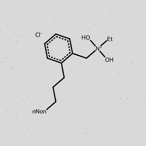 CCCCCCCCCCCCc1ccccc1C[N+](O)(O)CC.[Cl-]